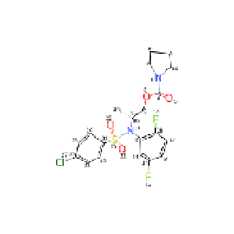 C[C@H](COC(=O)N1CCCC1)N(c1cc(F)ccc1F)S(=O)(=O)c1ccc(Cl)cc1